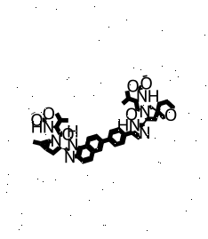 COC(=O)N[C@H](C(=O)N1C[C@]2(CCCOC2)C[C@H]1c1ncc(-c2ccc(-c3ccc4c(ccc5nc([C@@H]6CC7C(C)C7N6C(=O)[C@@H](NC(=O)OC)C(C)C)[nH]c54)c3)cc2)[nH]1)C(C)C